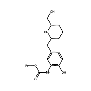 CC(C)OC(=O)Nc1cc(CC2CCCC(CO)N2)ccc1O